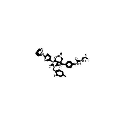 CC1C=C(F)C(Cn2c(=O)n(-c3ccc(-n4cccn4)nc3)c(=O)c3c(CN(C)C)c(-c4ccc(NC(=O)NCC(F)F)cc4)sc32)=C(F)C1